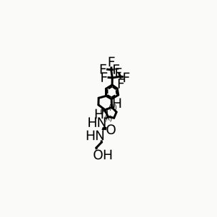 O=C(NCCO)N[C@@H]1CC[C@H]2c3ccc(C(F)(C(F)(F)F)C(F)(F)F)cc3CC[C@@H]12